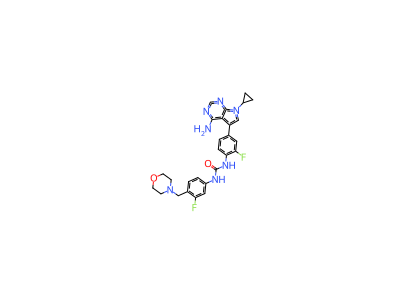 Nc1ncnc2c1c(-c1ccc(NC(=O)Nc3ccc(CN4CCOCC4)c(F)c3)c(F)c1)cn2C1CC1